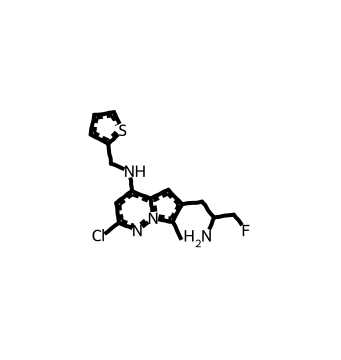 Cc1c(CC(N)CF)cc2c(NCc3cccs3)cc(Cl)nn12